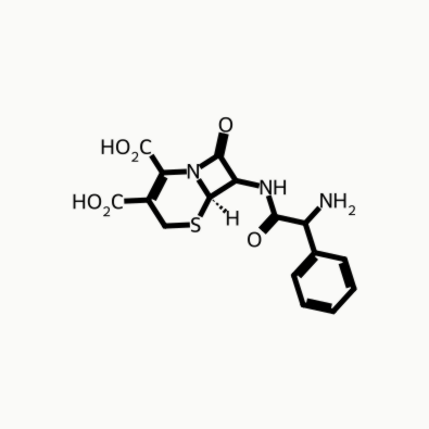 NC(C(=O)NC1C(=O)N2C(C(=O)O)=C(C(=O)O)CS[C@H]12)c1ccccc1